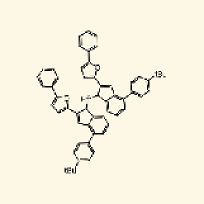 CC(C)(C)c1ccc(-c2cccc3c2C=C(c2ccc(-c4ccccc4)o2)[CH]3[Hf][CH]2C(c3ccc(-c4ccccc4)o3)=Cc3c(-c4ccc(C(C)(C)C)cc4)cccc32)cc1